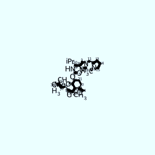 CO[C@@H]1[C@H](OC(=O)N[C@H](c2cn(C[C@H]3CCCN3C)cn2)C(C)C)CC[C@]2(CO2)[C@H]1[C@@]1(C)O[C@@H]1CC=C(C)C